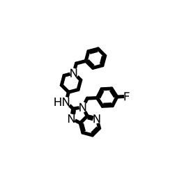 Fc1ccc(Cn2c(NC3CCN(Cc4ccccc4)CC3)nc3cccnc32)cc1